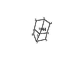 C1C2CC3CC1CC(C2)P3